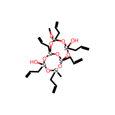 C=CC[Si]1(C)O[Si](O)(CC=C)O[Si]2(CC=C)O[Si](CC=C)(OC)O[Si](O)(CC=C)O[Si](CC=C)(O1)O2